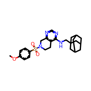 COc1ccc(S(=O)(=O)N2CCc3c(ncnc3NCC34CC5CC(CC(C5)C3)C4)C2)cc1